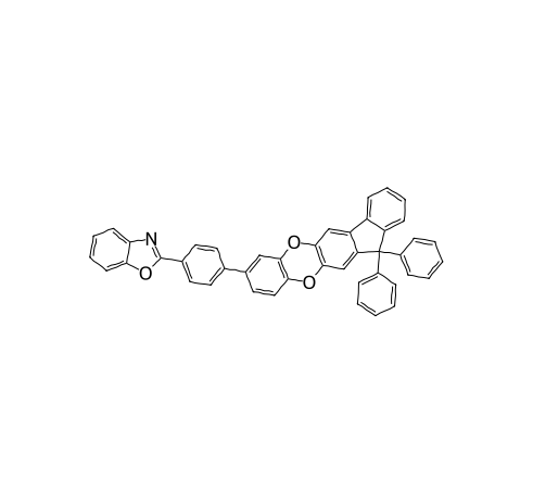 c1ccc(C2(c3ccccc3)c3ccccc3-c3cc4c(cc32)Oc2ccc(-c3ccc(-c5nc6ccccc6o5)cc3)cc2O4)cc1